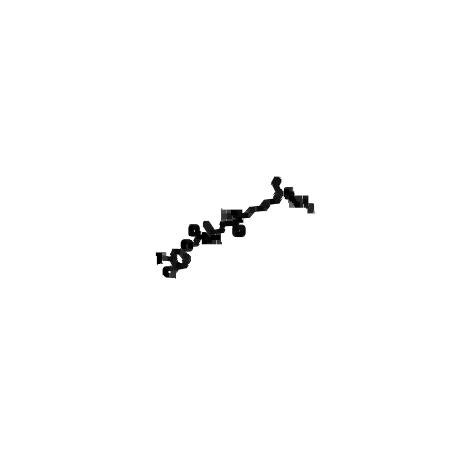 C=C/C(=C\C=C\CCNC(=O)CCC(=C)NC(=O)COc1ccc(Cl)c(F)c1)SN